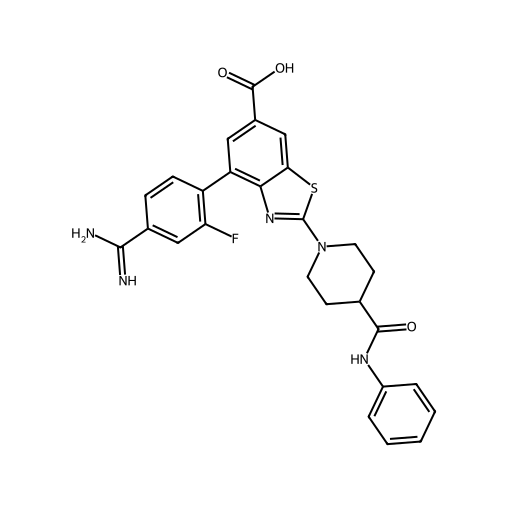 N=C(N)c1ccc(-c2cc(C(=O)O)cc3sc(N4CCC(C(=O)Nc5ccccc5)CC4)nc23)c(F)c1